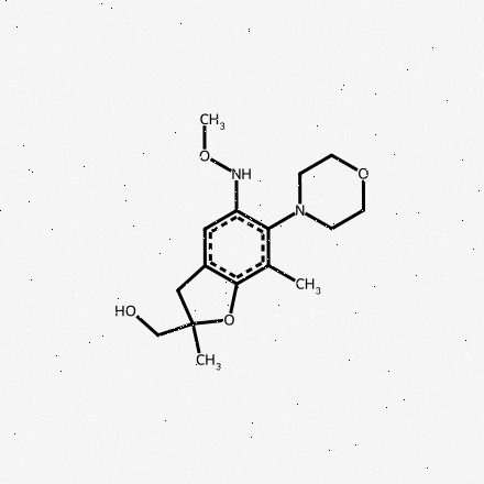 CONc1cc2c(c(C)c1N1CCOCC1)OC(C)(CO)C2